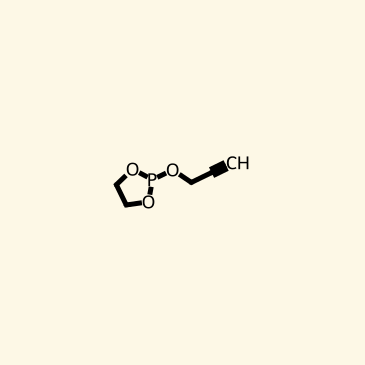 C#CCOP1OCCO1